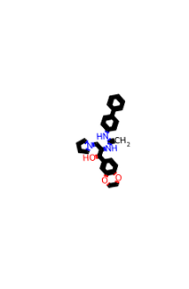 C=C(Nc1ccc(-c2ccccc2)cc1)NC(CN1CCCC1)C(O)c1ccc2c(c1)OCCO2